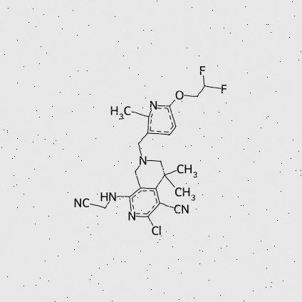 Cc1nc(OCC(F)F)ccc1CN1Cc2c(NCC#N)nc(Cl)c(C#N)c2C(C)(C)C1